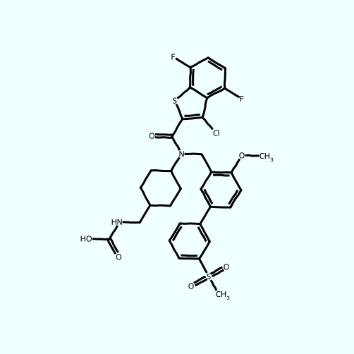 COc1ccc(-c2cccc(S(C)(=O)=O)c2)cc1CN(C(=O)c1sc2c(F)ccc(F)c2c1Cl)C1CCC(CNC(=O)O)CC1